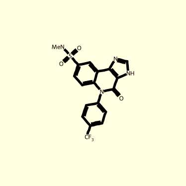 CNS(=O)(=O)c1ccc2c(c1)c1nc[nH]c1c(=O)n2-c1ccc(C(F)(F)F)cc1